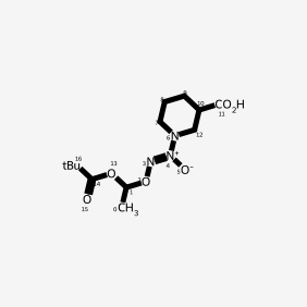 CC(O/N=[N+](\[O-])N1CCCC(C(=O)O)C1)OC(=O)C(C)(C)C